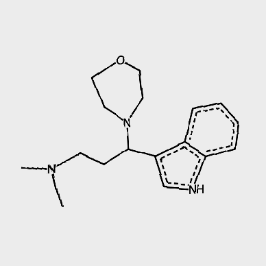 CN(C)CCC(c1c[nH]c2ccccc12)N1CCOCC1